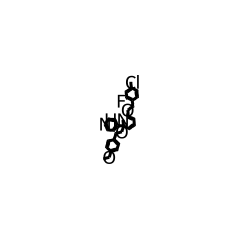 COc1ccc(COC2(c3ccncc3)C=CC=C(OCc3ccc(Cl)cc3F)N2)cc1